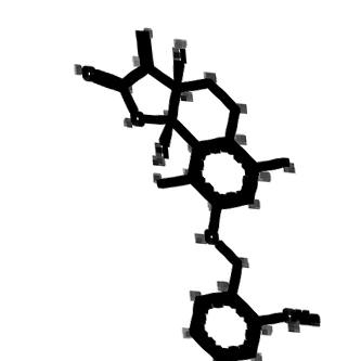 C=C1C(=O)O[C@H]2c3c(C)c(OCc4ccccc4OC)cc(C)c3CC[C@@H]12